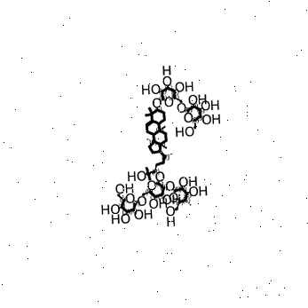 C[C@H]1[C@H](O)[C@@H](O)[C@H](O[C@H]2[C@H](O[C@H](CC[C@@H](C)C3CC[C@@]4(C)C5CC=C6C(CC[C@H](O[C@@H]7O[C@H](CO[C@@H]8O[C@H](CO)[C@@H](O)[C@H](O)[C@H]8O)[C@@H](O)[C@H](O)[C@H]7O)C6(C)C)[C@]5(C)CC[C@]34C)C(C)(C)O)O[C@H](CO[C@@H]3O[C@H](CO)[C@@H](O)[C@H](O)[C@H]3O)[C@@H](O)[C@@H]2O)O[C@@H]1CO